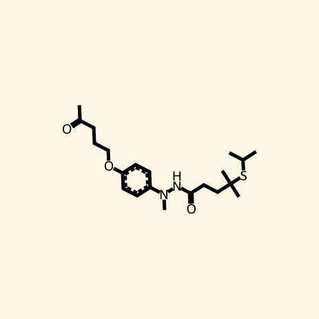 CC(=O)CCCOc1ccc(N(C)NC(=O)CCC(C)(C)SC(C)C)cc1